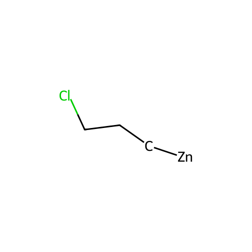 ClCC[CH2][Zn]